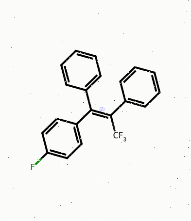 Fc1ccc(/C(=C(/c2ccccc2)C(F)(F)F)c2ccccc2)cc1